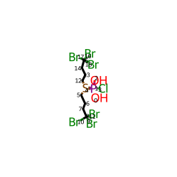 OP(O)(Cl)=S(CCCC(Br)(Br)Br)CCCC(Br)(Br)Br